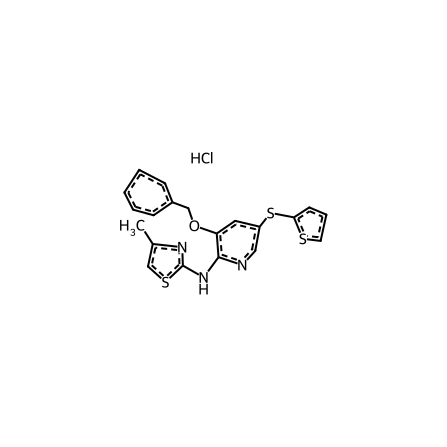 Cc1csc(Nc2ncc(Sc3cccs3)cc2OCc2ccccc2)n1.Cl